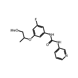 COCC(C)Oc1cc(F)cc(NC(=O)Nc2cccnc2)c1